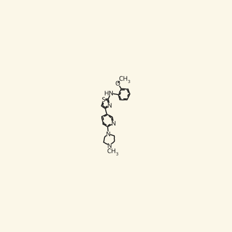 COc1ccccc1Nc1nc(-c2ccc(N3CCN(C)CC3)nc2)cs1